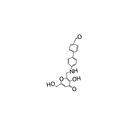 O=Cc1ccc(-c2ccc(NCc3oc(CO)cc(=O)c3O)cc2)cc1